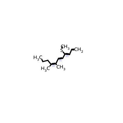 C=C/C=C(/C=C/C(C)=C(/C)CCC)SC